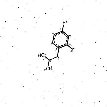 CC(O)Cc1ccc(F)cc1F